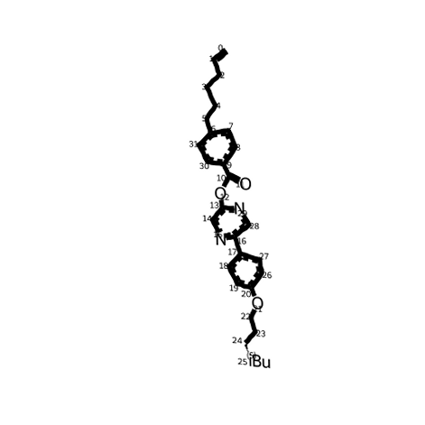 C=CCCCCc1ccc(C(=O)Oc2cnc(-c3ccc(OCCC[C@@H](C)CC)cc3)cn2)cc1